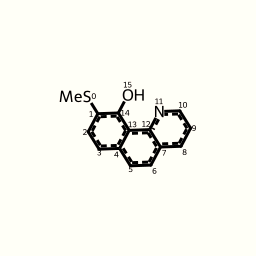 CSc1ccc2ccc3cccnc3c2c1O